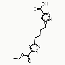 CCOC(=O)c1nnc(CCCCn2cc(C(=O)O)nn2)s1